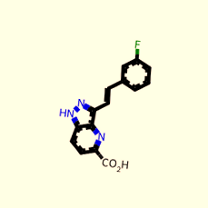 O=C(O)c1ccc2[nH]nc(C=Cc3cccc(F)c3)c2n1